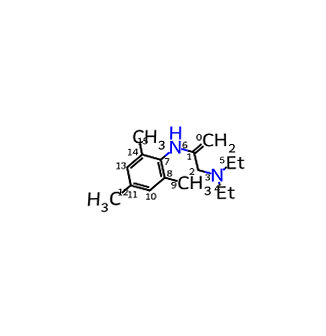 C=C(CN(CC)CC)Nc1c(C)cc(C)cc1C